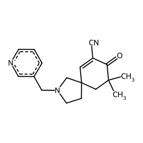 CC1(C)CC2(C=C(C#N)C1=O)CCN(Cc1cccnc1)C2